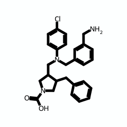 NCc1cccc(CN(CC2CN(C(=O)O)CC2Cc2ccccc2)c2ccc(Cl)cc2)c1